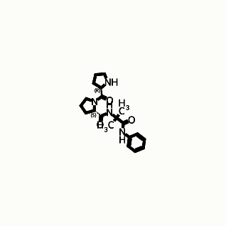 CC(C)(NC(=O)[C@@H]1CCCN1C(=O)[C@H]1CCCN1)C(=O)Nc1ccccc1